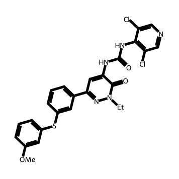 CCn1nc(-c2cccc(Sc3cccc(OC)c3)c2)cc(NC(=O)Nc2c(Cl)cncc2Cl)c1=O